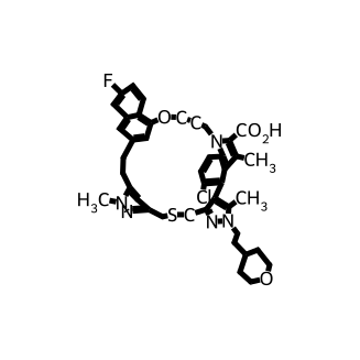 Cc1c(C(=O)O)n2c3ccc(Cl)c(c13)-c1c(nn(CCC3CCOCC3)c1C)CSCc1cc(n(C)n1)CCc1cc(c3ccc(F)cc3c1)OCCC2